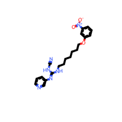 N#CN/C(=N\c1cccnc1)NCCCCCCCOc1cccc([N+](=O)[O-])c1